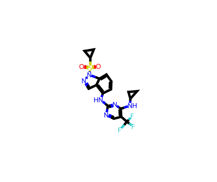 O=S(=O)(C1CC1)n1ncc2c(Nc3ncc(C(F)(F)F)c(NC4CC4)n3)cccc21